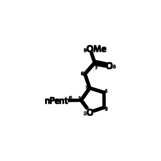 CCCCCC1OCCC1CC(=O)OC